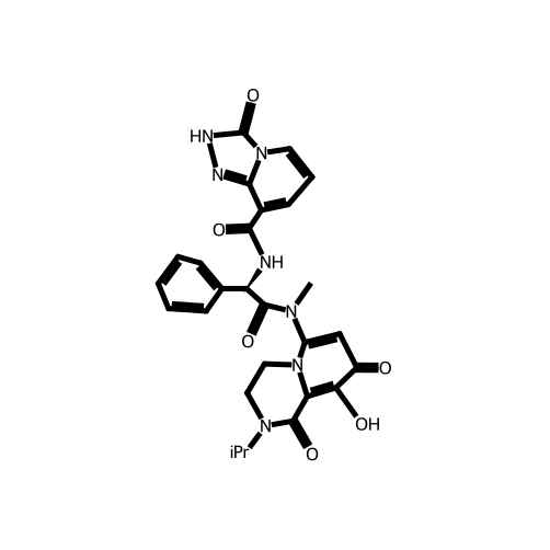 CC(C)N1CCn2c(N(C)C(=O)[C@H](NC(=O)c3cccn4c(=O)[nH]nc34)c3ccccc3)cc(=O)c(O)c2C1=O